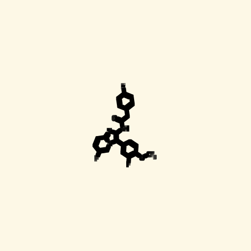 O=C(Cc1ccc(F)cc1)Nc1nc2ccc(F)cn2c1-c1ccc(OC(F)(F)F)c(F)c1